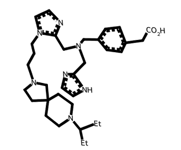 CCC(CC)N1CCC2(CCN(CCCn3ccnc3CN(Cc3ccc(CC(=O)O)cc3)Cc3ncc[nH]3)C2)CC1